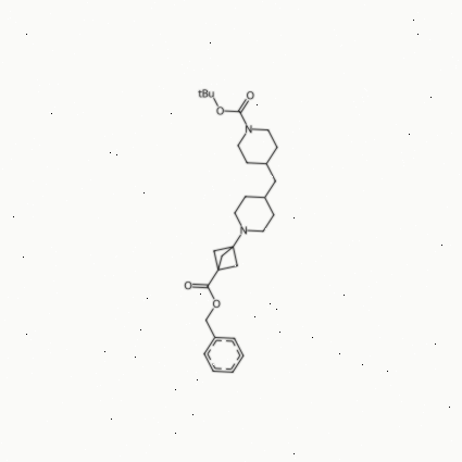 CC(C)(C)OC(=O)N1CCC(CC2CCN(C34CC(C(=O)OCc5ccccc5)(C3)C4)CC2)CC1